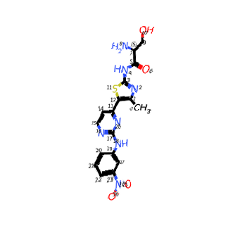 Cc1nc(NC(=O)[C@@H](N)CO)sc1-c1ccnc(Nc2cccc([N+](=O)[O-])c2)n1